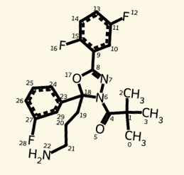 CC(C)(C)C(=O)N1N=C(c2cc(F)ccc2F)OC1(CCCN)c1cccc(F)c1